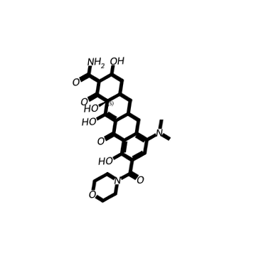 CN(C)c1cc(C(=O)N2CCOCC2)c(O)c2c1CC1CC3CC(O)C(C(N)=O)C(=O)[C@@]3(O)C(O)=C1C2=O